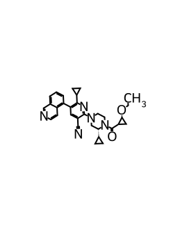 CCO[C@@H]1CC1C(=O)N1CCN(c2nc(C3CC3)c(-c3cccc4cnccc34)cc2C#N)C[C@H]1C1CC1